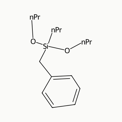 CCCO[Si](CCC)(Cc1ccccc1)OCCC